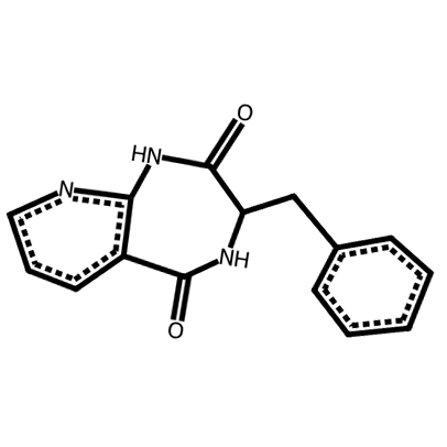 O=C1NC(Cc2ccccc2)C(=O)Nc2ncccc21